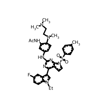 CCn1cc(-c2nc(Nc3ccc(N(C)CCN(C)C)c(NC(C)=O)c3)nc3c2ccn3S(=O)(=O)c2ccc(C)cc2)c2cc(F)ccc21